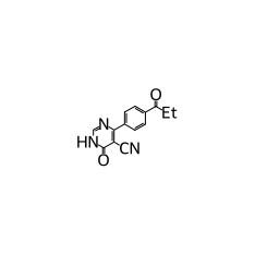 CCC(=O)c1ccc(-c2nc[nH]c(=O)c2C#N)cc1